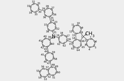 CC1(c2ccccc2)c2ccccc2-c2c(-c3ccc(N(c4ccc(-c5cccc(-c6ccccc6)c5)cc4)c4cccc(-c5ccc(-c6cccc7ccccc67)cc5)c4)cc3)cccc21